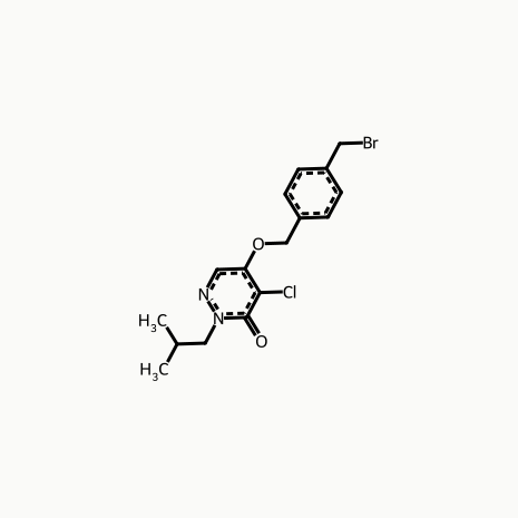 CC(C)Cn1ncc(OCc2ccc(CBr)cc2)c(Cl)c1=O